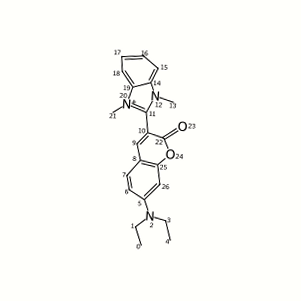 CCN(CC)c1ccc2cc(-c3n(C)c4ccccc4[n+]3C)c(=O)oc2c1